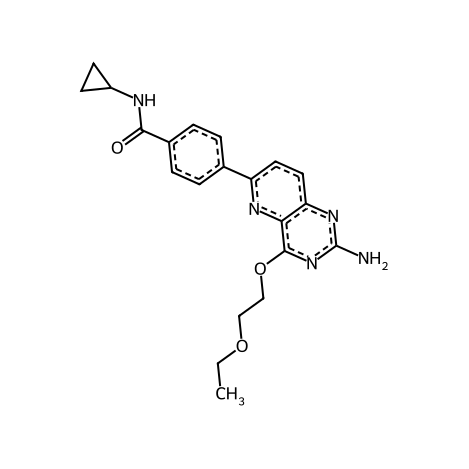 CCOCCOc1nc(N)nc2ccc(-c3ccc(C(=O)NC4CC4)cc3)nc12